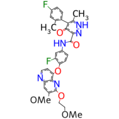 COCCOc1nc2c(Oc3ccc(NC(=O)c4n[nH]c(C)c(-c5ccc(F)cc5C)c4=O)cc3F)ccnc2cc1OC